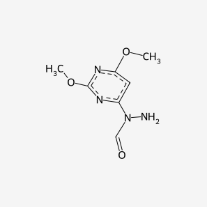 COc1cc(N(N)C=O)nc(OC)n1